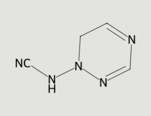 N#CNN1CC=NC=N1